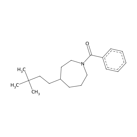 CC(C)(C)CCC1CCCN(C(=O)c2ccccc2)CC1